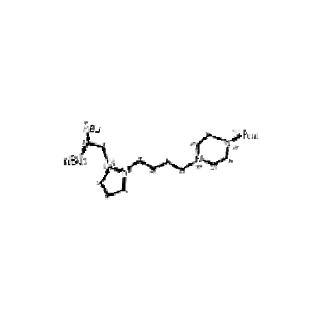 CCCCC(CCCC)C[C@@H]1CCCN1CCCCN1CCN(C(C)CCC)CC1